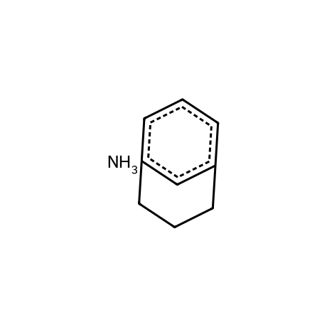 N.c1cc2cc(c1)CCC2